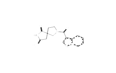 C=C1CC2(CCN(C(=O)c3cnn4ccccc34)C2)C(=O)N1